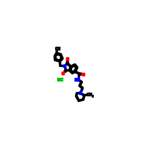 CC1CCCCN1CCCNC(=O)c1ccc2c(c1)C(=O)N(Cc1ccc(C#N)cc1)C2=O.Cl